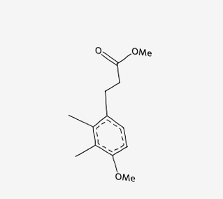 COC(=O)CCc1ccc(OC)c(C)c1C